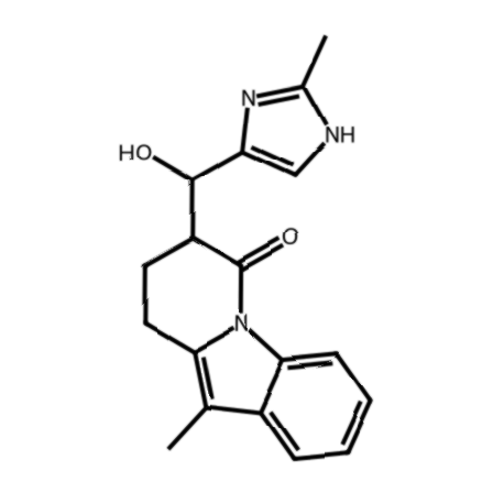 Cc1nc(C(O)C2CCc3c(C)c4ccccc4n3C2=O)c[nH]1